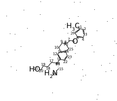 Cc1cccc(OC[C@@H]2CCc3cc([C@H](CN)CCCCO)ccc3C2)c1